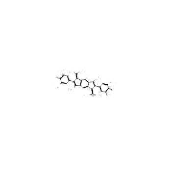 N#CC(C#N)=C1C(c2cc(C(F)(F)F)c(F)c(C(F)(F)F)c2)=C(C#N)c2cc3c(cc21)C(C#N)=C(c1cc(C(F)(F)F)c(F)c(C(F)(F)F)c1)C3=C(C#N)C#N